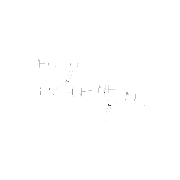 NC(=O)NNC(N)=S.[Li+].[OH-]